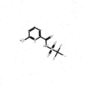 Cc1cccc(C(=O)NS(=O)(=O)C(F)(F)F)n1